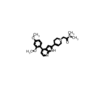 COc1ccc(-c2ccnc3[nH]c(C4=CCN(CC(=O)N(C)C)CC4)cc23)c(OC)c1